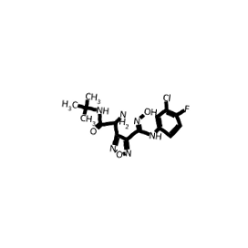 CC(C)(C)NC(=O)C(N)c1nonc1C(=NO)Nc1ccc(F)c(Cl)c1